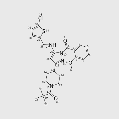 COc1ccccc1C(=O)n1nc(C2CCN(C(=O)C(C)(C)C)CC2)cc1NCc1ccc(Cl)s1